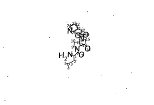 NC(CC1CC1)C(=O)N1CCC2C1C(=O)CN2S(=O)(=O)Cc1cccnc1